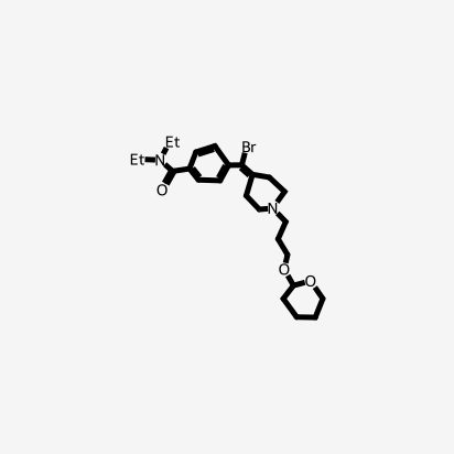 CCN(CC)C(=O)c1ccc(C(Br)=C2CCN(CCCOC3CCCCO3)CC2)cc1